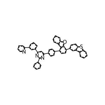 c1ccc(-c2nc(-c3ccc(-c4ccc(-c5ccc6sc7ccccc7c6c5)c5oc6ccccc6c45)cc3)cc(-c3cccc(-c4ccccn4)c3)n2)cc1